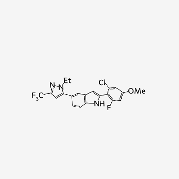 CCn1nc(C(F)(F)F)cc1-c1ccc2[nH]c(-c3c(F)cc(OC)cc3Cl)cc2c1